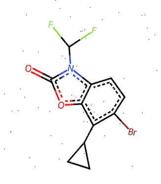 O=c1oc2c(C3CC3)c(Br)ccc2n1C(F)F